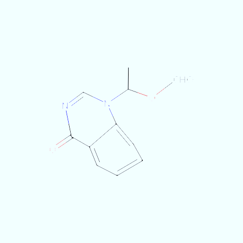 CC(OC=O)n1cnc(=O)c2ccccc21